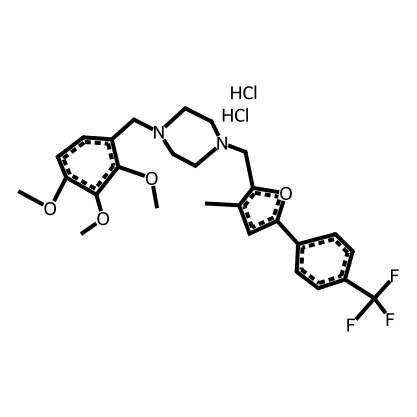 COc1ccc(CN2CCN(Cc3oc(-c4ccc(C(F)(F)F)cc4)cc3C)CC2)c(OC)c1OC.Cl.Cl